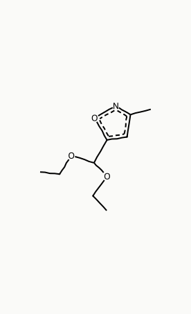 CCOC(OCC)c1cc(C)no1